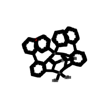 CCC[CH2][Zr]1([CH2]CCC)[CH]2C(CC)=C(c3c(-c4ccccc4)cccc32)[Si](c2ccccc2)(c2ccccc2)C2=C(CC)[CH]1c1cccc(-c3ccccc3)c12